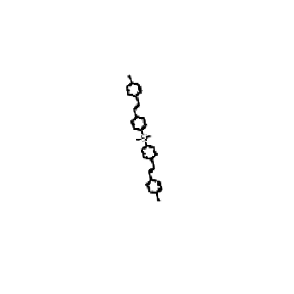 Cc1ccc(/C=C/c2ccc([Si](C)(C)c3ccc(/C=C/c4ccc(C)cc4)cc3)cc2)cc1